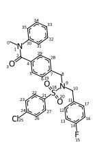 CN(C(=O)c1ccc(CN(Cc2ccc(F)cc2)S(=O)(=O)c2ccc(Cl)cc2)cc1)c1ccccc1